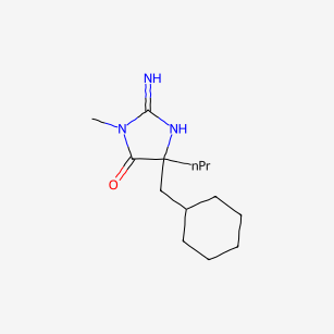 CCCC1(CC2CCCCC2)NC(=N)N(C)C1=O